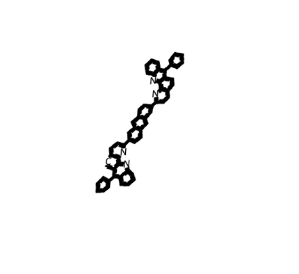 c1ccc(-c2c3ccccc3nc3c2ccc2ccc(-c4ccc5cc6cc(-c7ccc8ccc9c(-c%10ccccc%10)c%10ccccc%10nc9c8n7)ccc6cc5c4)nc23)cc1